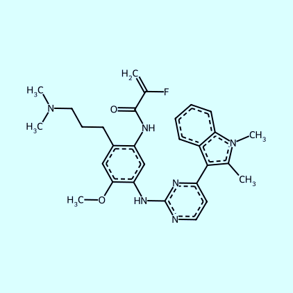 C=C(F)C(=O)Nc1cc(Nc2nccc(-c3c(C)n(C)c4ccccc34)n2)c(OC)cc1CCCN(C)C